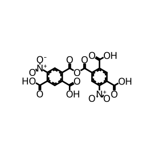 O=C(O)c1cc(C(=O)O)c([N+](=O)[O-])cc1C(=O)OC(=O)c1cc([N+](=O)[O-])c(C(=O)O)cc1C(=O)O